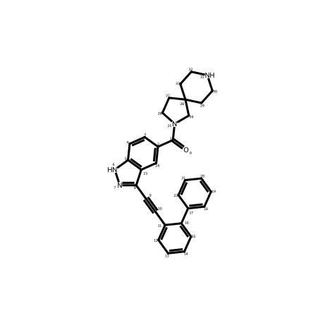 O=C(c1ccc2[nH]nc(C#Cc3ccccc3-c3ccccc3)c2c1)N1CCC2(CCNCC2)C1